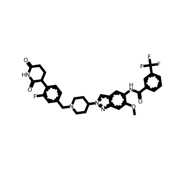 COc1cc2nn(C3CCN(Cc4ccc(C5CCC(=O)NC5=O)c(F)c4)CC3)cc2cc1NC(=O)c1cccc(C(F)(F)F)c1